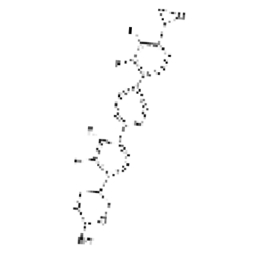 CCCC1OCC(c2ccc(-c3ccc(-c4ccc(C5CO5)c(F)c4F)cc3)c(F)c2F)CO1